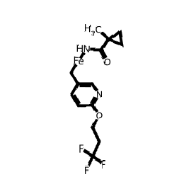 CC1(C(=O)[NH][Fe][CH2]c2ccc(OCCC(F)(F)F)nc2)CC1